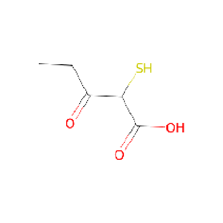 CCC(=O)C(S)C(=O)O